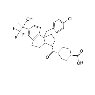 CC(O)(c1ccc2c(c1)CCC1N(C(=O)[C@H]3CC[C@H](C(=O)O)CC3)CCC21Cc1ccc(Cl)cc1)C(F)(F)F